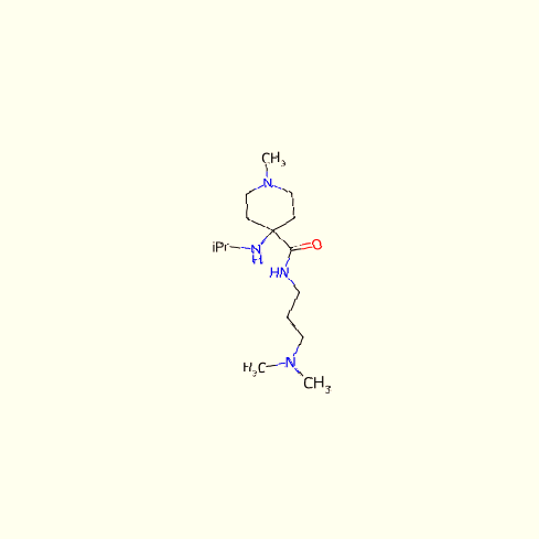 CC(C)NC1(C(=O)NCCCN(C)C)CCN(C)CC1